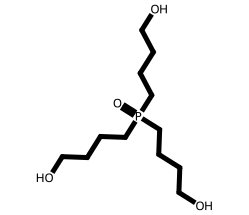 O=P(CCCCO)(CCCCO)CCCCO